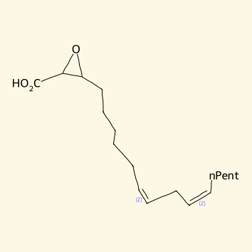 CCCCC/C=C\C/C=C\CCCCCC1OC1C(=O)O